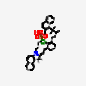 C=C(/C=C/C1=C(Cl)C(=C/C=C2\N(CCCCS(=O)(=O)O)c3ccc4ccccc4c3C2(C)C)/CCC1)C(C)(C)c1c(C)ccc2ccccc12